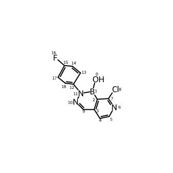 OB1c2c(ccnc2Cl)C=NN1c1ccc(F)cc1